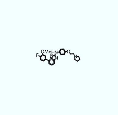 COc1cc(-c2cccc3nc(Nc4ccc(OCCN5CCCC5)cc4)nn23)ccc1F